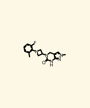 Cc1cccc(F)c1N1CC(N2Cc3cn(C)nc3NC2=O)C1